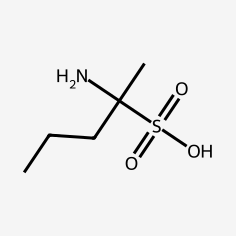 CCCC(C)(N)S(=O)(=O)O